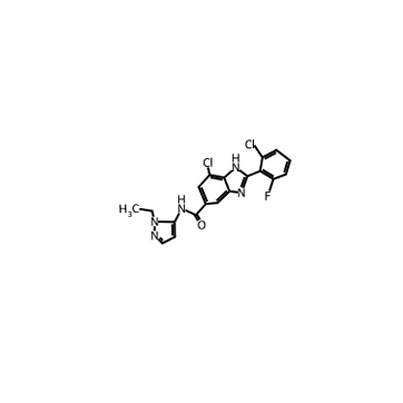 CCn1nccc1NC(=O)c1cc(Cl)c2[nH]c(-c3c(F)cccc3Cl)nc2c1